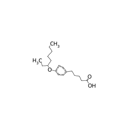 CCCCCC(CC)Oc1ccc(CCCCC(=O)O)cc1